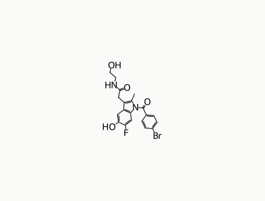 Cc1c(CC(=O)NCCO)c2cc(O)c(F)cc2n1C(=O)c1ccc(Br)cc1